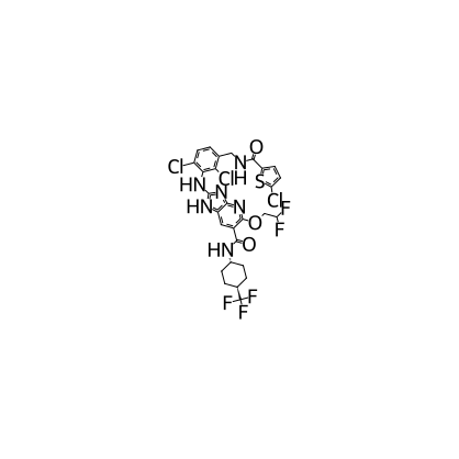 O=C(NCc1ccc(Cl)c(Nc2nc3nc(OCC(F)F)c(C(=O)N[C@H]4CC[C@H](C(F)(F)F)CC4)cc3[nH]2)c1Cl)c1ccc(Cl)s1